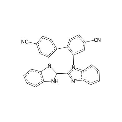 N#Cc1ccc2c(c1)N1c3ccccc3NC1c1nc3ccccc3n1-c1cc(C#N)ccc1-2